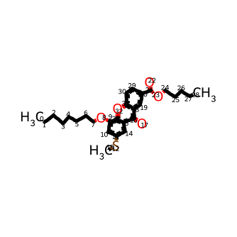 CCCCCCCCOc1cc(SC)cc2c(=O)c3cc(C(=O)OCCCCC)ccc3oc12